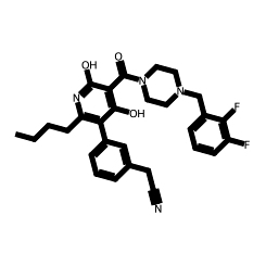 CCCCc1nc(O)c(C(=O)N2CCN(Cc3cccc(F)c3F)CC2)c(O)c1-c1cccc(CC#N)c1